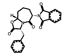 O=C1O[C@@H]2CCC[C@H](N3C(=O)c4ccccc4C3=O)C(=O)N2[C@@H]1Cc1ccccc1